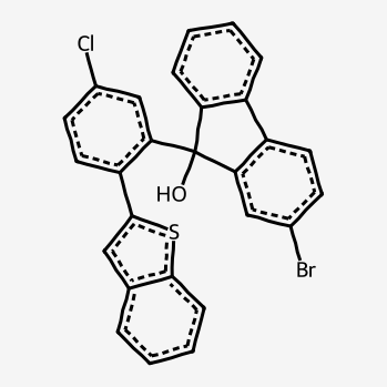 OC1(c2cc(Cl)ccc2-c2cc3ccccc3s2)c2ccccc2-c2ccc(Br)cc21